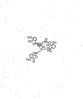 CC(C)(CC(C)(C)NC(=O)C(CCCNC(=O)c1cccc(O)c1O)(CCCNC(=O)c1cccc(O)c1O)CCCNC(=O)c1cccc(O)c1O)NC=O